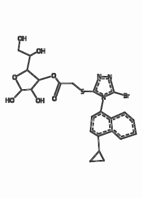 O=C(CSc1nnc(Br)n1-c1ccc(C2CC2)c2ccccc12)OC1C(O)C(O)OC1C(O)CO